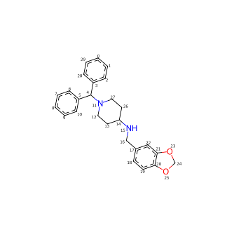 c1ccc(C(c2ccccc2)N2CCC(NCc3ccc4c(c3)OCO4)CC2)cc1